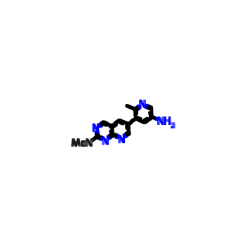 CNc1ncc2cc(-c3cc(N)cnc3C)cnc2n1